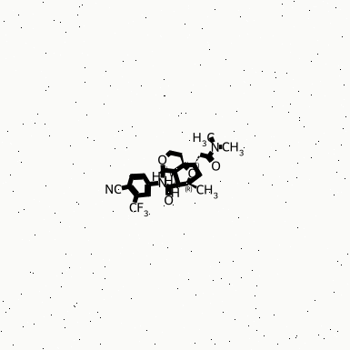 CN(C)C(=O)C[C@@H]1C[C@@]2(C)O[C@@]13CCO[C@H]1[C@@H]3[C@@H]2C(=O)N1c1ccc(C#N)c(C(F)(F)F)c1